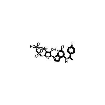 CC(Nc1nc(Cl)nc2c1ccn2[C@@H]1O[C@H](CS(=O)(=O)CP(=O)(O)O)[C@@H](O)[C@H]1O)c1ccc(F)cc1